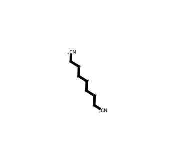 N#CCC[CH]CCCCC#N